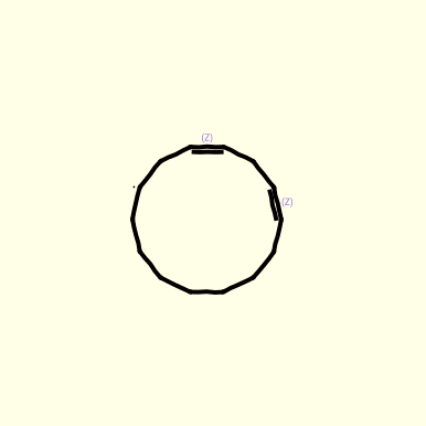 [CH]1C/C=C\C/C=C\CCCCCCC1